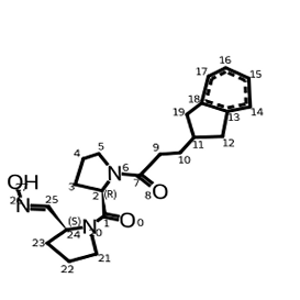 O=C([C@H]1CCCN1C(=O)CCC1Cc2ccccc2C1)N1CCC[C@H]1C=NO